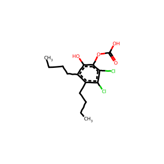 CCCCc1c(O)c(OC(=O)O)c(Cl)c(Cl)c1CCCC